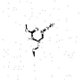 COC[C@@H](CN=[N+]=[N-])NC(=O)OC